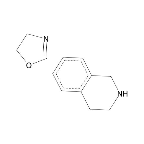 C1=NCCO1.c1ccc2c(c1)CCNC2